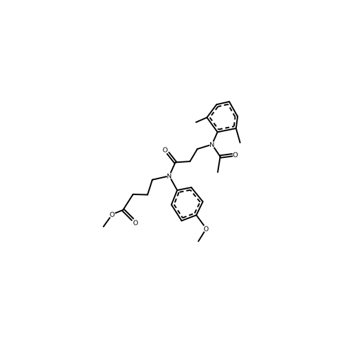 COC(=O)CCCN(C(=O)CCN(C(C)=O)c1c(C)cccc1C)c1ccc(OC)cc1